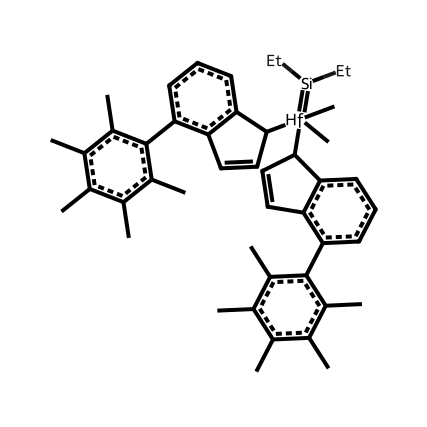 CC[Si](CC)=[Hf]([CH3])([CH3])([CH]1C=Cc2c(-c3c(C)c(C)c(C)c(C)c3C)cccc21)[CH]1C=Cc2c(-c3c(C)c(C)c(C)c(C)c3C)cccc21